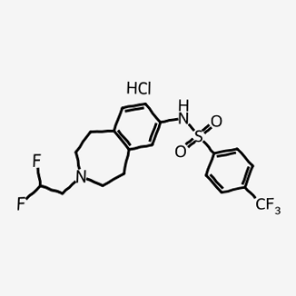 Cl.O=S(=O)(Nc1ccc2c(c1)CCN(CC(F)F)CC2)c1ccc(C(F)(F)F)cc1